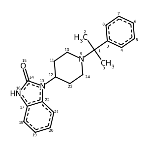 CC(C)(c1ccccc1)N1CCC(n2c(=O)[nH]c3ccccc32)CC1